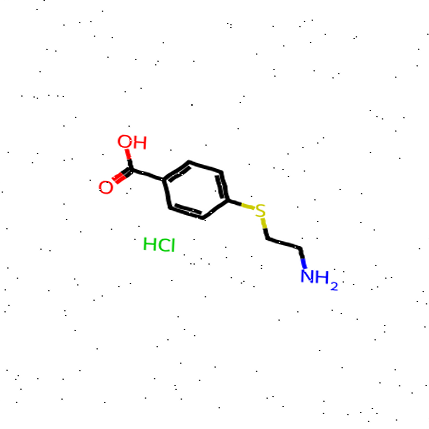 Cl.NCCSc1ccc(C(=O)O)cc1